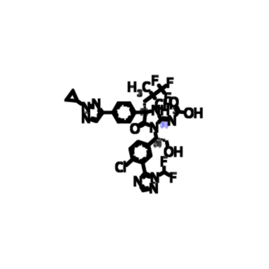 CC(C)(C[C@]1(c2ccc(-c3cnn(C4CC4)n3)cc2)N/C(=N\C(=O)O)N([C@H](CO)c2ccc(Cl)c(-c3ncnn3C(F)F)c2)C1=O)C(F)(F)F